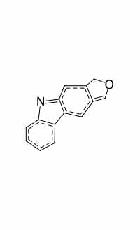 C1=c2cc3c(cc2CO1)=Nc1ccccc1-3